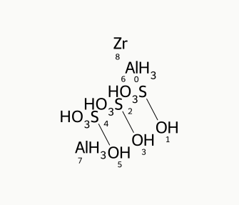 O=S(=O)(O)O.O=S(=O)(O)O.O=S(=O)(O)O.[AlH3].[AlH3].[Zr]